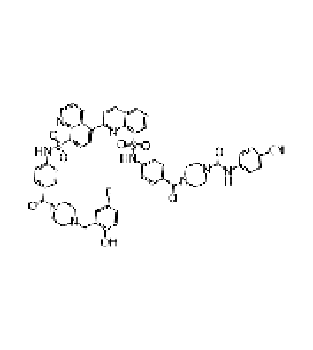 N#Cc1ccc(NC(=O)N2CCN(C(=O)c3ccc(NS(=O)(=O)c4cccc5ccc(-c6ccc(S(=O)(=O)Nc7ccc(C(=O)N8CCN(Cc9cc(F)ccc9O)CC8)cc7)c7ncccc67)nc45)cc3)CC2)cc1